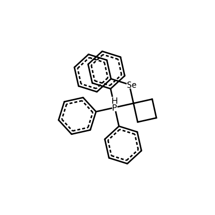 c1ccc([Se]C2([PH](c3ccccc3)(c3ccccc3)c3ccccc3)CCC2)cc1